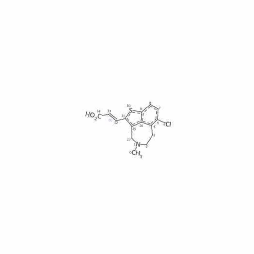 CN1CCc2c(Cl)ccc3sc(/C=C/C(=O)O)c(c23)C1